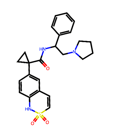 O=C(NC(CN1CCCC1)c1ccccc1)C1(c2ccc3c(c2)C=CS(=O)(=O)N3)CC1